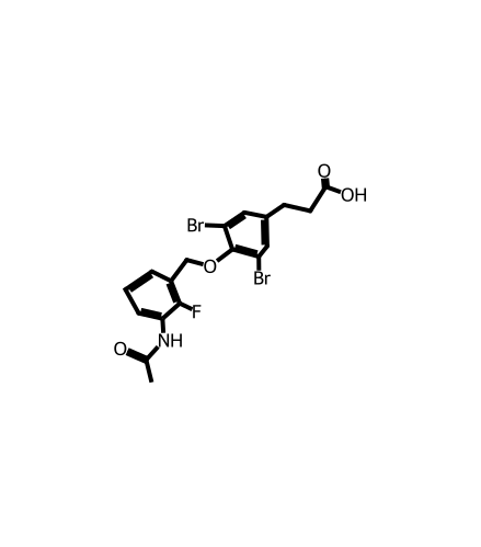 CC(=O)Nc1cccc(COc2c(Br)cc(CCC(=O)O)cc2Br)c1F